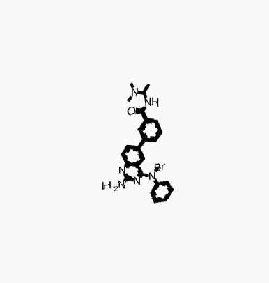 CC(NC(=O)c1cccc(-c2ccc3nc(N)nc(N(Br)c4ccccc4)c3c2)c1)N(C)C